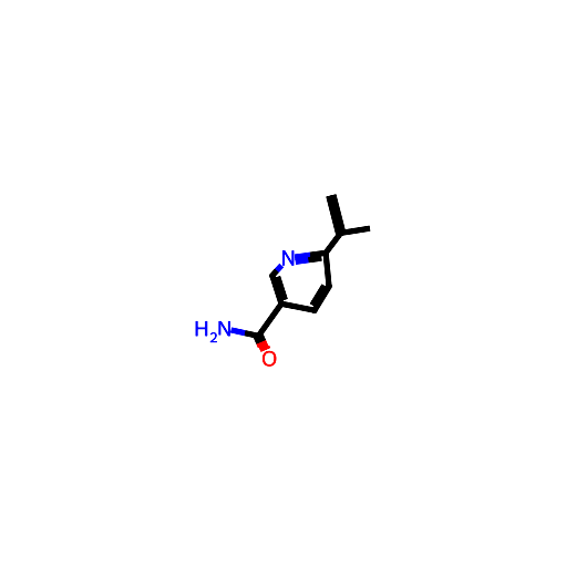 C=C(C)c1ccc(C(N)=O)cn1